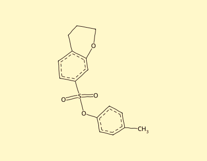 Cc1ccc(OS(=O)(=O)c2ccc3c(c2)OCCC3)cc1